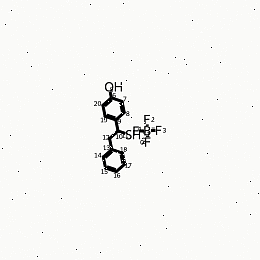 F[B-](F)(F)F.Oc1ccc(C([SH2+])Cc2ccccc2)cc1